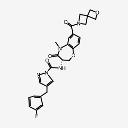 CN1C(=O)[C@@H](NC(=O)n2cc(Cc3cccc(F)c3)cn2)COc2ccc(C(=O)N3CC4(COC4)C3)cc21